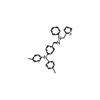 Cc1ccc(N(c2ccc(C)cc2)c2ccc(C=NN(Cc3cccs3)c3ccccc3)cc2)cc1